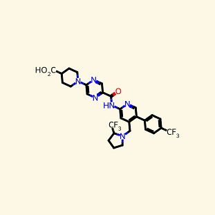 O=C(Nc1cc(CN2CCCC2C(F)(F)F)c(-c2ccc(C(F)(F)F)cc2)cn1)c1cnc(N2CCC(C(=O)O)CC2)cn1